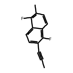 CC#Cc1ccc2c(F)c(C)ccc2c1F